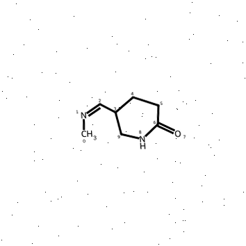 C/N=C\C1CCC(=O)NC1